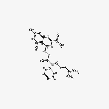 CN(C)CCON(C(=O)COc1cc(C(=O)O)cc2cc(Cl)cc(Cl)c12)c1ccccc1